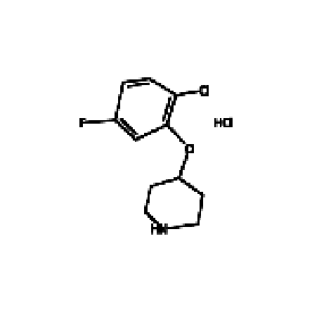 Cl.Fc1ccc(Cl)c(OC2CCNCC2)c1